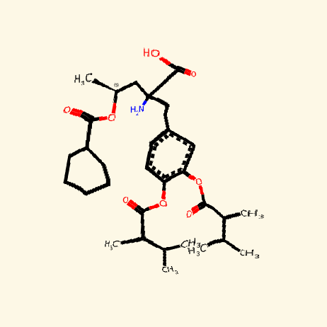 CC(C)C(C)C(=O)Oc1ccc(CC(N)(C[C@H](C)OC(=O)C2CCCCC2)C(=O)O)cc1OC(=O)C(C)C(C)C